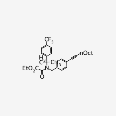 CCCCCCCCC#Cc1ccc(CN(C(=O)C(=O)OCC)C(C)(C)c2ccc(C(F)(F)F)cc2)cc1